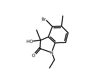 CCN1C(=O)C(C)(O)c2c1ccc(C)c2Br